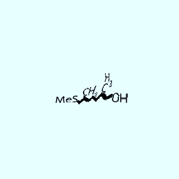 CSC/C(C)=C/CC/C(C)=C/CO